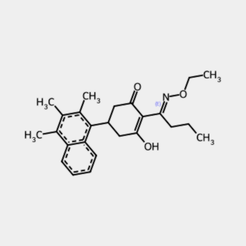 CCC/C(=N\OCC)C1=C(O)CC(c2c(C)c(C)c(C)c3ccccc23)CC1=O